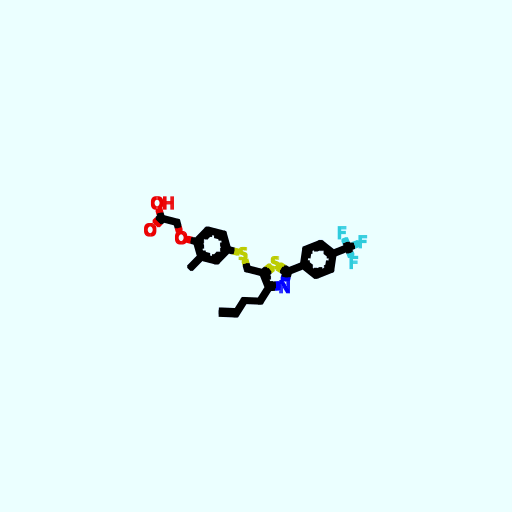 C=CCCc1nc(-c2ccc(C(F)(F)F)cc2)sc1CSc1ccc(OCC(=O)O)c(C)c1